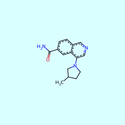 CC1CCN(c2cncc3ccc(C(N)=O)cc23)C1